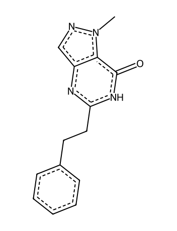 Cn1ncc2nc(CCc3ccccc3)[nH]c(=O)c21